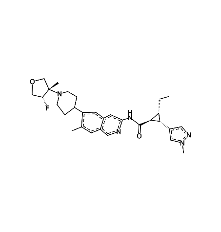 CC[C@H]1[C@H](C(=O)Nc2cc3cc(C4CCN([C@@]5(C)COC[C@H]5F)CC4)c(C)cc3cn2)[C@H]1c1cnn(C)c1